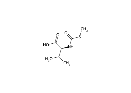 CSC(=O)N[C@H](C(=O)O)C(C)C